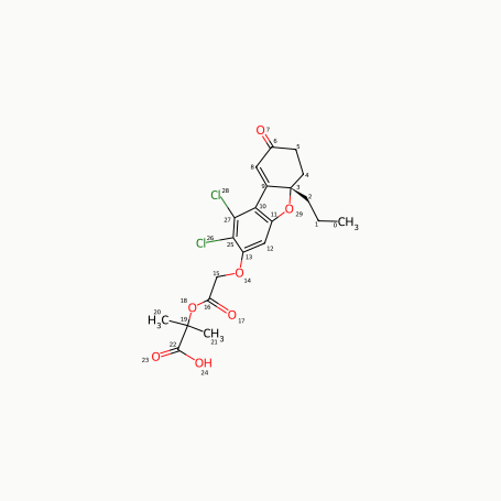 CCC[C@]12CCC(=O)C=C1c1c(cc(OCC(=O)OC(C)(C)C(=O)O)c(Cl)c1Cl)O2